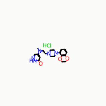 CN(CCN1CCN(c2cccc3c2OCCO3)CC1)c1cn[nH]c(=O)c1.Cl